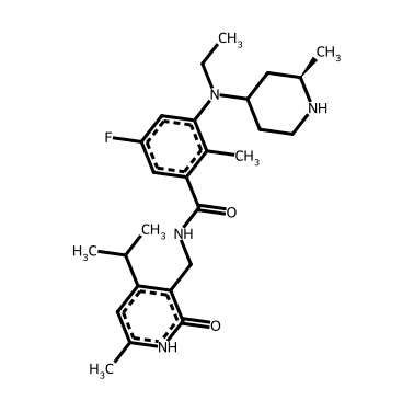 CCN(c1cc(F)cc(C(=O)NCc2c(C(C)C)cc(C)[nH]c2=O)c1C)C1CCN[C@H](C)C1